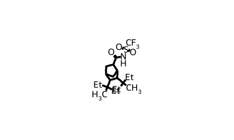 CCC(C)(CC)C1C2CC(C(=O)NS(=O)(=O)C(F)(F)F)C(C2)C1C(C)(CC)CC